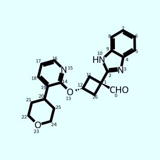 O=C[C@]1(c2nc3ccccc3[nH]2)C[C@@H](Oc2ncccc2C2CCOCC2)C1